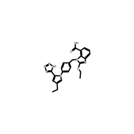 CCOc1nc2cccc(C(=O)O)c2n1Cc1ccc(-n2cc(CC)cc2-c2nnn[nH]2)cc1